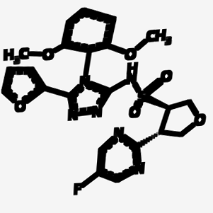 COc1cccc(OC)c1-n1c(NS(=O)(=O)[C@H]2COC[C@@H]2c2ncc(F)cn2)nnc1-c1ccco1